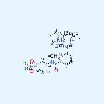 CN(C(=O)c1cccc(-n2nc(C(F)(F)F)c3c2CC2CCC3(C(C)(C)C)N2)c1)c1ccc2c(c1)OC(F)(F)O2